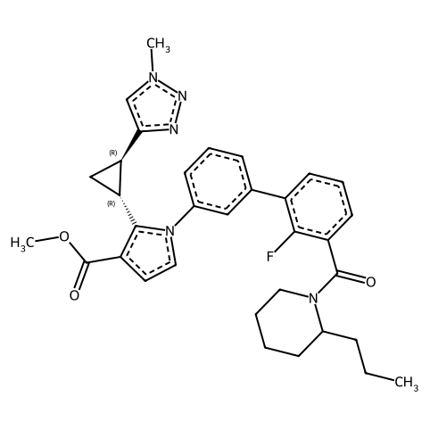 CCCC1CCCCN1C(=O)c1cccc(-c2cccc(-n3ccc(C(=O)OC)c3[C@@H]3C[C@H]3c3cn(C)nn3)c2)c1F